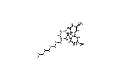 CCCCCCCCCC1CCCC(c2ccc(O)cc2)(c2ccc(O)cc2)C1